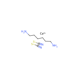 N#C[S-].N#C[S-].NCCCCCCN.[Ca+2]